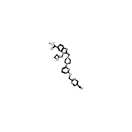 CC(=O)c1ccc2nc(CN3CCN(c4cccc(OCc5ncc(C#N)cn5)n4)CC3)n(C[C@@H]3CCO3)c2c1